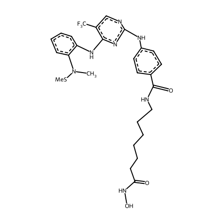 CSN(C)c1ccccc1Nc1nc(Nc2ccc(C(=O)NCCCCCCC(=O)NO)cc2)ncc1C(F)(F)F